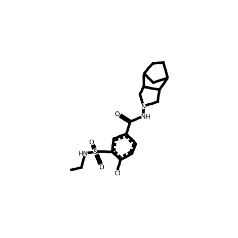 CCNS(=O)(=O)c1cc(C(=O)NN2CC3C4CCC(C4)C3C2)ccc1Cl